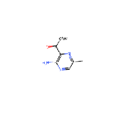 CCc1cnc(N)c(C(=O)OC)n1